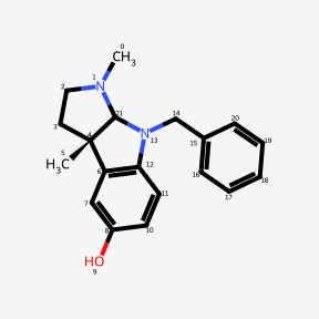 CN1CC[C@@]2(C)c3cc(O)ccc3N(Cc3ccccc3)C12